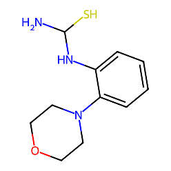 NC(S)Nc1ccccc1N1CCOCC1